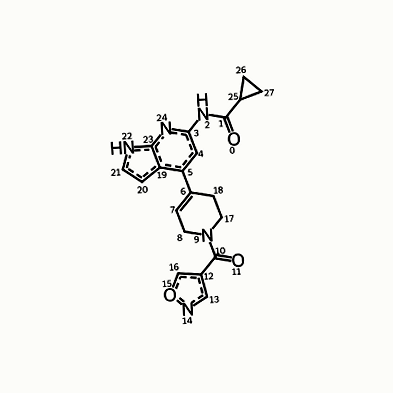 O=C(Nc1cc(C2=CCN(C(=O)c3cnoc3)CC2)c2cc[nH]c2n1)C1CC1